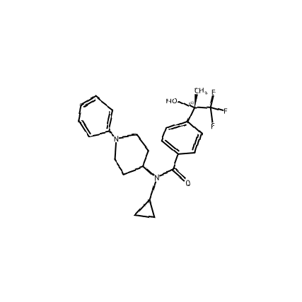 C[C@](O)(c1ccc(C(=O)N(C2CC2)C2CCN(c3ccccc3)CC2)cc1)C(F)(F)F